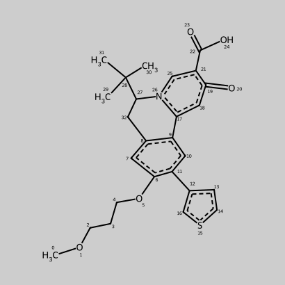 COCCCOc1cc2c(cc1-c1ccsc1)-c1cc(=O)c(C(=O)O)cn1C(C(C)(C)C)C2